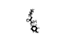 Cc1ccc(SNC(=O)CN=[N+]=[N-])cc1